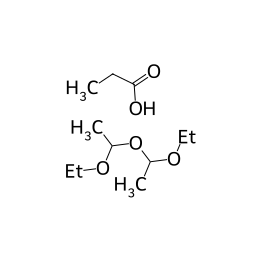 CCC(=O)O.CCOC(C)OC(C)OCC